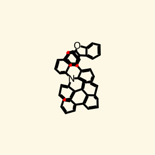 c1ccc(-c2cccc3cccc(-c4ccccc4N(c4ccccc4-c4cccc5oc6ccccc6c45)c4cccc5ccccc45)c23)cc1